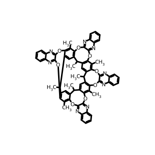 Cc1c2c3cc4c1Oc1nc5ccccc5nc1Oc1c(cc5c(c1C)Oc1nc6ccccc6nc1Oc1c(cc6c(c1C)Oc1nc7ccccc7nc1Oc1c(cc(c(c1C)Oc1nc7ccccc7nc1O2)C3C)C6C)C5C)C4C